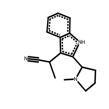 CC(C#N)c1c(C2CCCN2C)[nH]c2ccccc12